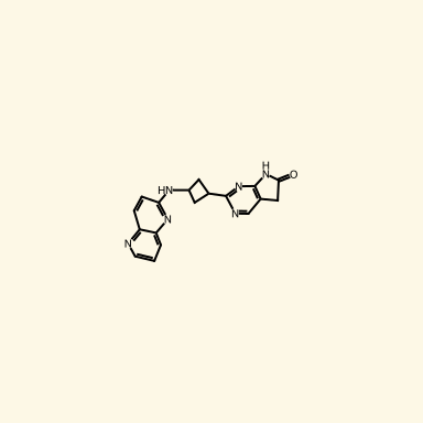 O=C1Cc2cnc(C3CC(Nc4ccc5ncccc5n4)C3)nc2N1